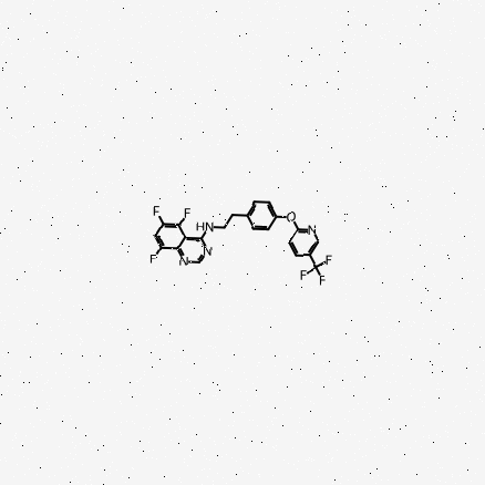 Fc1cc(F)c2ncnc(NCCc3ccc(Oc4ccc(C(F)(F)F)cn4)cc3)c2c1F